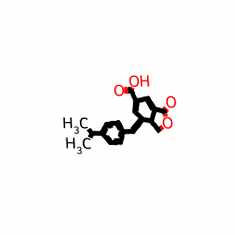 CC(C)c1ccc(C=C2C=C(C(=O)O)C=C3C(=O)OCC23)cc1